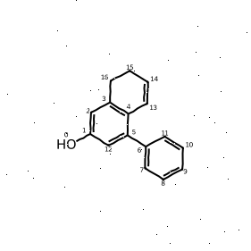 Oc1cc2c(c(-c3ccccc3)c1)C=CCC2